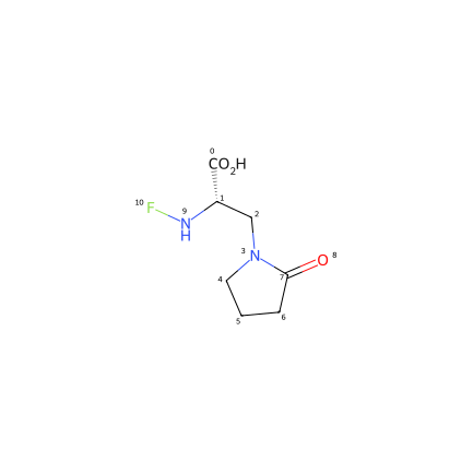 O=C(O)[C@H](CN1CCCC1=O)NF